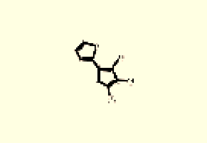 N#CC1=C(c2ccco2)CC(C(F)(F)F)=C1C#N